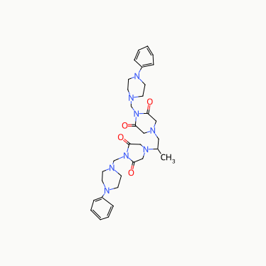 CC(CN1CC(=O)N(CN2CCN(c3ccccc3)CC2)C(=O)C1)N1CC(=O)N(CN2CCN(c3ccccc3)CC2)C(=O)C1